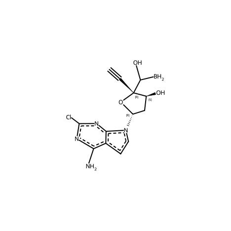 BC(O)[C@@]1(C#C)O[C@@H](n2ccc3c(N)nc(Cl)nc32)C[C@@H]1O